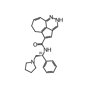 O=C(N[C@H](CN1CCCC1)c1ccccc1)c1cc2c[nH]nc3c-2c1CCC=C3